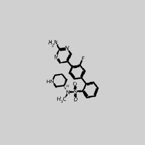 CN([C@H]1CCCNC1)S(=O)(=O)c1ccccc1-c1ccc(-c2cnc(N)nc2)c(F)c1